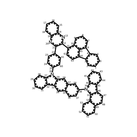 c1ccc2c(c1)-c1cccc3c(-c4nc5ccccc5nc4-c4ccc(-n5c6ccccc6c6cc7ccc(-n8c9ccccc9c9ccc%10ccccc%10c98)cc7cc65)cc4)ccc-2c13